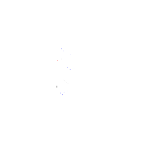 Cl.NC(=O)C(NCc1ccncc1)C1CCCCC1